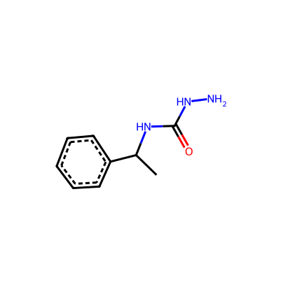 CC(NC(=O)NN)c1ccccc1